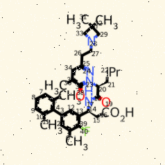 Cc1cc(-c2c(C)cccc2C)cc([C@H](CC(=O)O)NC(=O)[C@H](CC(C)C)n2nc(CCN3CC(C)(C)C3)cc(C)c2=O)c1F